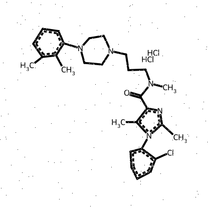 Cc1cccc(N2CCN(CCCN(C)C(=O)c3nc(C)n(-c4ccccc4Cl)c3C)CC2)c1C.Cl.Cl